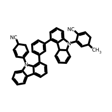 CC1C=C(N2c3cccc(-c4cccc(-c5cccc6c7ccccc7n(C7=CCC(C#N)C=C7)c56)c4)c3C3C=CC=CC32)C(C#N)=CC1